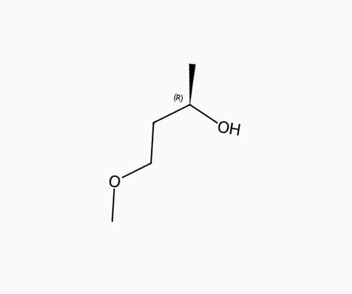 COCC[C@@H](C)O